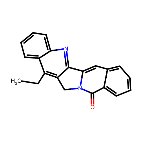 CCc1c2c(nc3ccccc13)-c1cc3ccccc3c(=O)n1C2